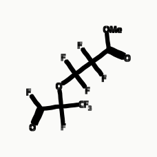 COC(=O)C(F)(F)C(F)(F)OC(F)(C(=O)F)C(F)(F)F